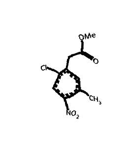 COC(=O)Cc1cc(C)c([N+](=O)[O-])cc1Cl